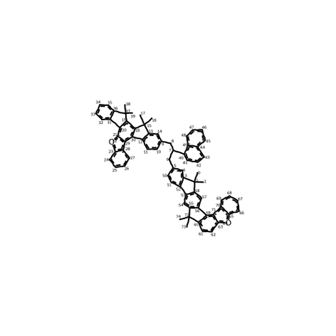 CC1(C)c2cc(CC(Cc3ccc4c(c3)C(C)(C)c3c5c(c6oc7ccccc7c6c3-4)-c3ccccc3C5(C)C)c3cccc4ccccc34)ccc2-c2cc3c(cc21)-c1c(ccc2oc4ccccc4c12)C3(C)C